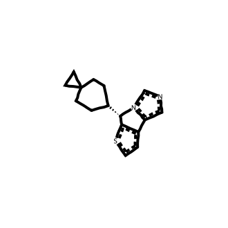 c1cc2c(s1)[C@H](C1CCC3(CC1)CC3)n1cncc1-2